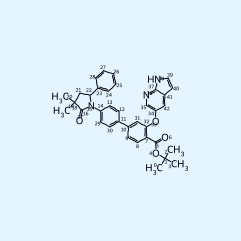 CC(C)(C)OC(=O)c1ccc(-c2ccc(N3C(=O)C(C)(C)CC3c3ccccc3)cc2)cc1Oc1cnc2[nH]ccc2c1